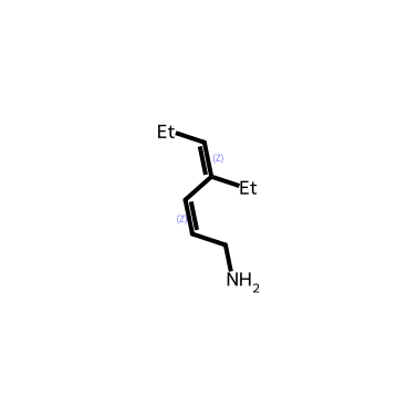 CC/C=C(\C=C/CN)CC